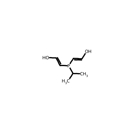 CC(C)P(/C=C/O)/C=C/O